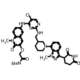 CNC(=O)COc1cc2cc(Nc3nc(NCC4CCCN(c5cccc6c(C7CCC(=O)NC7=O)nn(C)c56)C4)ncc3Cl)ccc2n(C)c1=O